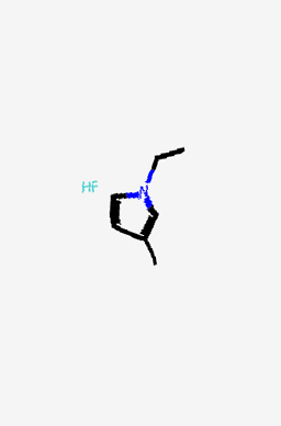 CCn1ccc(C)c1.F